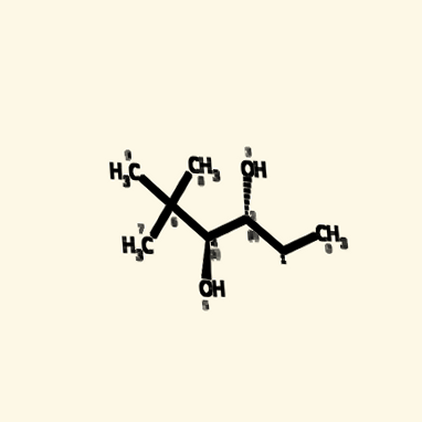 CC[C@@H](O)[C@@H](O)C(C)(C)C